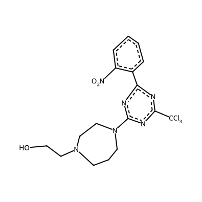 O=[N+]([O-])c1ccccc1-c1nc(N2CCCN(CCO)CC2)nc(C(Cl)(Cl)Cl)n1